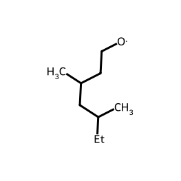 CCC(C)CC(C)CC[O]